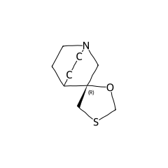 C1O[C@@]2(CS1)CN1CCC2CC1